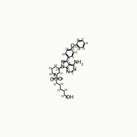 Nc1ncnc2c1c(-c1ccc(Oc3ccccc3)cc1)nn2C1CCCN(S(=O)(=O)CCCCCO)C1